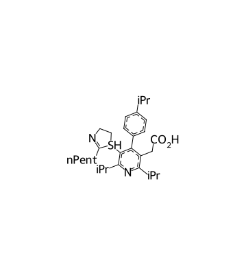 CCCCCC1=NCC[SH]1c1c(C(C)C)nc(C(C)C)c(CC(=O)O)c1-c1ccc(C(C)C)cc1